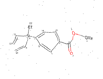 [CH2]OOC(=O)c1ccc([Si](C=C)(C=C)CC)cc1